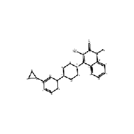 Cn1c(=O)c(C#N)c(N2CCC(C3C=C(C4CC4)C=CC3)CC2)c2ccccc21